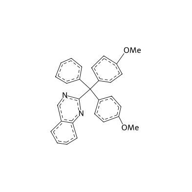 COc1ccc(C(c2ccccc2)(c2ccc(OC)cc2)c2ncc3ccccc3n2)cc1